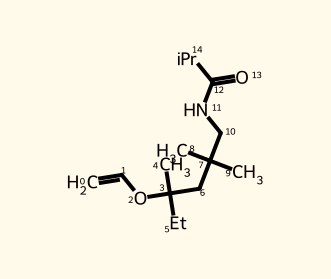 C=COC(C)(CC)CC(C)(C)CNC(=O)C(C)C